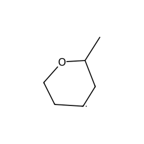 CC1C[CH]CCO1